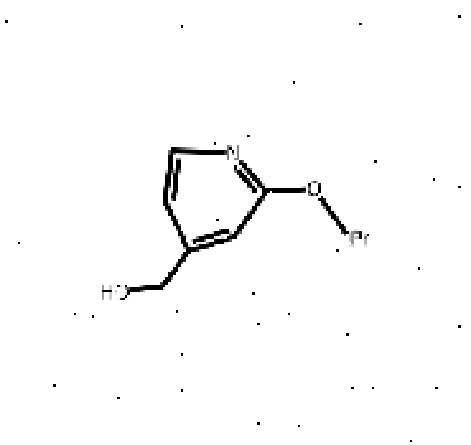 CC(C)Oc1cc(CO)ccn1